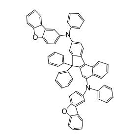 c1ccc(N(c2ccc3c(c2)C(c2ccccc2)(c2ccccc2)c2cc(N(c4ccccc4)c4ccc5oc6ccccc6c5c4)c4ccccc4c2-3)c2ccc3oc4ccccc4c3c2)cc1